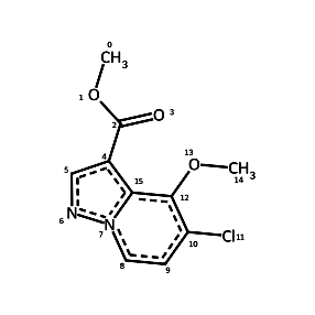 COC(=O)c1cnn2ccc(Cl)c(OC)c12